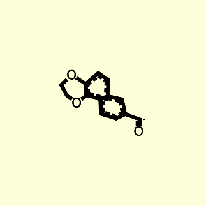 O=[C]c1ccc2c3c(ccc2c1)OCCO3